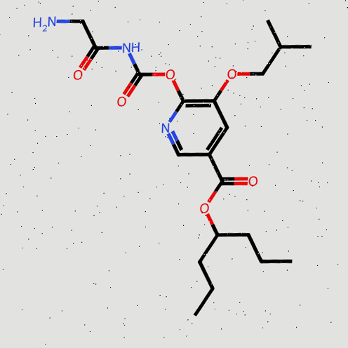 CCCC(CCC)OC(=O)c1cnc(OC(=O)NC(=O)CN)c(OCC(C)C)c1